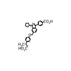 C[C@@H](CC(=O)O)c1ccc(OCc2ccc3c(-c4ccc(C(=O)O)cc4)nn(C4CCCC4)c3c2)cc1